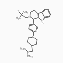 COC(CC1CCN(c2ncc(C3c4[nH]c5ccccc5c4CCN3CC(C)(C)F)cn2)CC1)OC